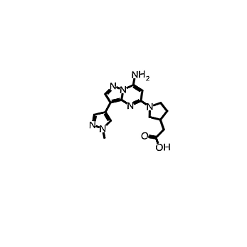 Cn1cc(-c2cnn3c(N)cc(N4CCC(CC(=O)O)C4)nc23)cn1